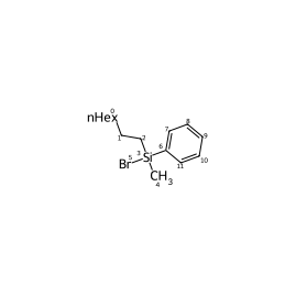 CCCCCCCC[Si](C)(Br)c1ccccc1